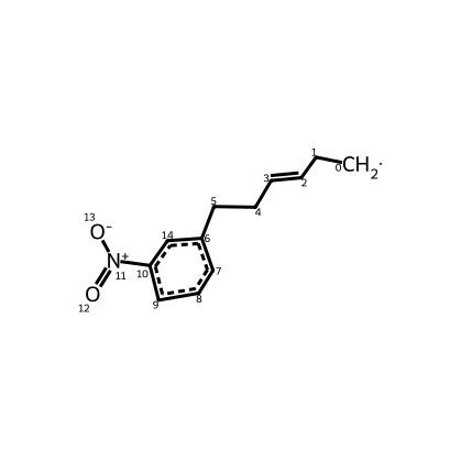 [CH2]C/C=C/CCc1cccc([N+](=O)[O-])c1